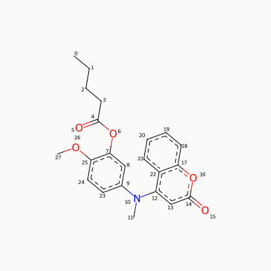 CCCCC(=O)Oc1cc(N(C)c2cc(=O)oc3ccccc23)ccc1OC